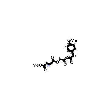 COC(=O)/C=C/C(=O)OCC(=O)OC(=O)Cc1ccc(OC)cc1